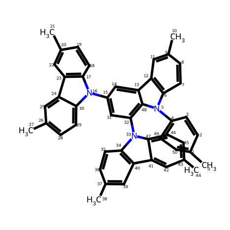 Cc1ccc(-n2c3ccc(C)cc3c3cc(-n4c5ccc(C)cc5c5cc(C)ccc54)cc(-n4c5ccc(C)cc5c5cc(C)ccc54)c32)cc1